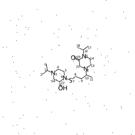 CC(C)N1CCN(SCCC(C)N2CCN(C(C)C)C(=O)C2)C(O)C1